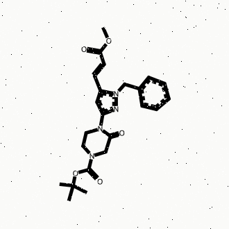 COC(=O)/C=C/c1cc(N2CCN(C(=O)OC(C)(C)C)CC2=O)nn1Cc1ccccc1